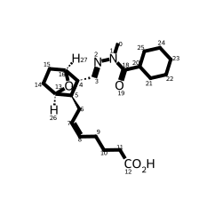 CN(N=C[C@@H]1[C@@H](C/C=C\CCCC(=O)O)[C@H]2CC[C@@H]1O2)C(=O)C1CCCCC1